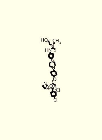 CCN(CCO)C(=S)Nc1ccc(N2CCN(c3ccc(OC[C@@H]4CO[C@@](Cn5ccnc5)(c5ccc(Cl)cc5Cl)O4)cc3)CC2)cc1